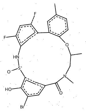 Cc1ccc2c(c1)-c1cc(c(F)cc1F)N[S+]([O-])c1cc(cc(Br)c1O)C(=O)N(C)CC(C)O2